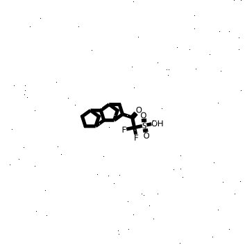 O=C(C1CC2CC1C1C3CCC(C3)C21)C(F)(F)S(=O)(=O)O